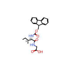 CC[C@H](C)[C@H](NC(=O)OCC1c2ccccc2-c2ccccc21)C(=O)NCC(=O)O